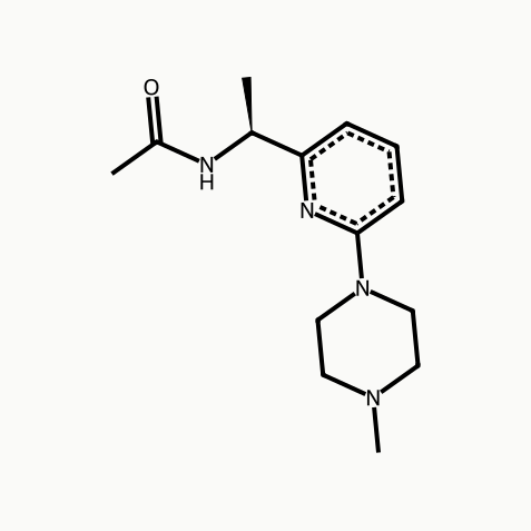 CC(=O)N[C@@H](C)c1cccc(N2CCN(C)CC2)n1